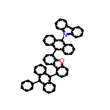 c1ccc(-c2c3ccccc3c(-c3cccc4oc5c(-c6c7ccccc7c(-n7c8ccccc8c8ccccc87)c7ccccc67)cccc5c34)c3ccccc23)cc1